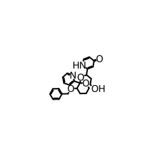 O=c1cc[nH]c(C(CCO)OC2(c3ccccn3)OCCCC2OCc2ccccc2)c1